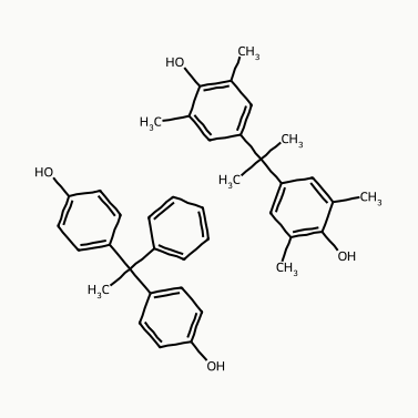 CC(c1ccccc1)(c1ccc(O)cc1)c1ccc(O)cc1.Cc1cc(C(C)(C)c2cc(C)c(O)c(C)c2)cc(C)c1O